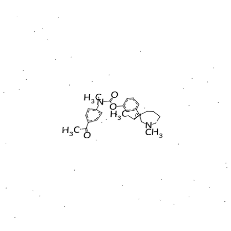 CC[C@@]1(c2cccc(OC(=O)N(C)c3ccc(C(C)=O)cc3)c2)CCCCN(C)C1